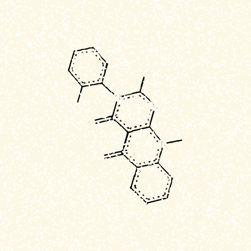 CC(C)c1ccccc1-n1c(C(C)C)nc2c(c(=O)c3ccccc3n2C)c1=O